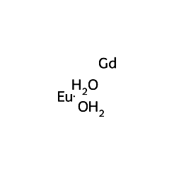 O.O.[Eu].[Gd]